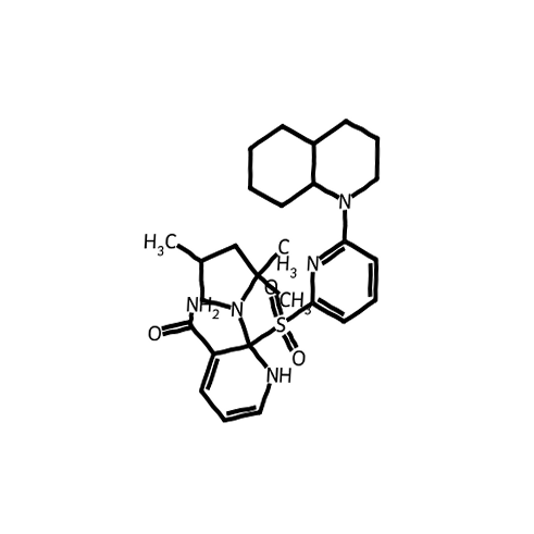 CC1CN(C2(S(=O)(=O)c3cccc(N4CCCC5CCCCC54)n3)NC=CC=C2C(N)=O)C(C)(C)C1